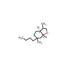 CCCCC1(C)CC[C@H]2C(C)CO[C@@H]2C1